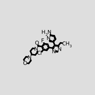 CCc1ncnc(-c2cc(F)c(C(=O)N3CCC(N4CCOCC4)CC3)c(Cl)c2)c1-c1ccc(N)nc1